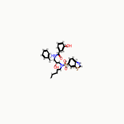 CCCCCN(C[C@@H](O)[C@H](Cc1ccccc1)NC(=O)c1cccc(O)c1)S(=O)(=O)c1ccc2ncsc2c1